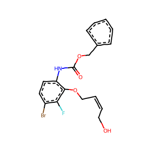 O=C(Nc1ccc(Br)c(F)c1OC/C=C\CO)OCc1ccccc1